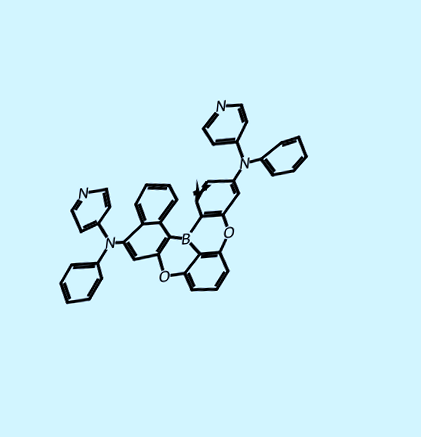 C1=CC2C(N(c3ccccc3)c3ccncc3)=CC3=C(B4c5c(cccc5Oc5cc(N(c6ccccc6)c6ccncc6)c6ccccc6c54)O3)C2C=C1